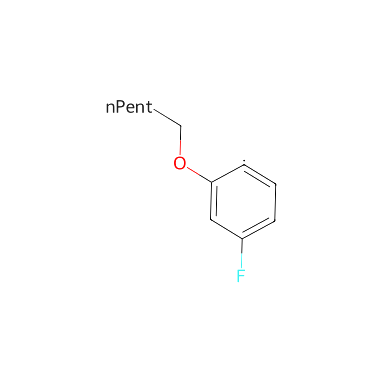 CCCCCCOc1[c]ccc(F)c1